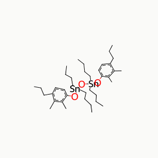 CCC[CH2][Sn]([CH2]CCC)([O]c1ccc(CCC)c(C)c1C)[O][Sn]([CH2]CCC)([CH2]CCC)[O]c1ccc(CCC)c(C)c1C